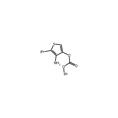 CC(C)OC(=O)Oc1csc(C(C)C)c1N